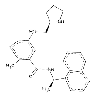 Cc1ccc(NC[C@H]2CCCN2)cc1C(=O)N[C@H](C)c1cccc2ccccc12